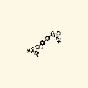 CC1=C[C@@H](c2ncc(-c3ccc(-c4ccc(-c5cnc([C@@H]6CCCN6C(=O)OC(C)(C)C)[nH]5)cc4)cc3)[nH]2)N(C(=O)OC(C)(C)C)C1